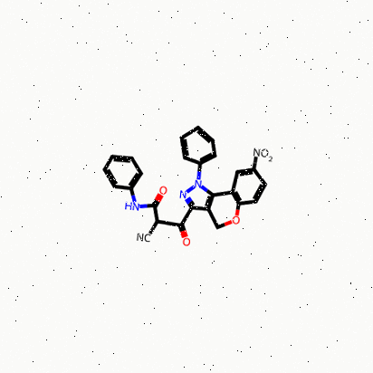 N#CC(C(=O)Nc1ccccc1)C(=O)c1nn(-c2ccccc2)c2c1COc1ccc([N+](=O)[O-])cc1-2